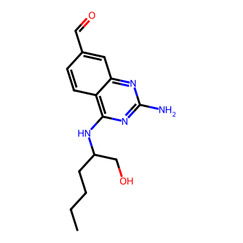 CCCCC(CO)Nc1nc(N)nc2cc(C=O)ccc12